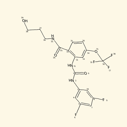 O=C(Nc1cc(F)cc(F)c1)Nc1cc(OC(F)(F)F)ccc1C(=O)NCCCO